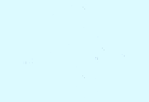 CCc1ccc2c(-c3cncc(Br)c3)c(CCCCC(=O)O)c(CN3CCCC3)nn12